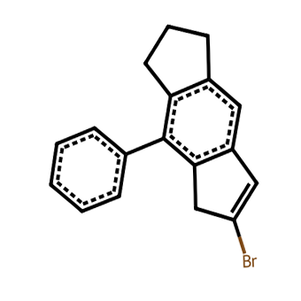 BrC1=Cc2cc3c(c(-c4ccccc4)c2C1)CCC3